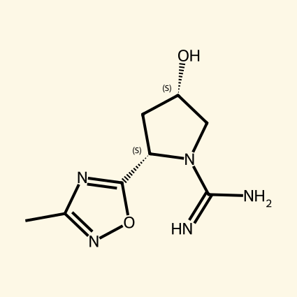 Cc1noc([C@@H]2C[C@H](O)CN2C(=N)N)n1